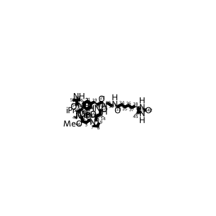 CC[C@H](C)[C@@H]([C@@H](CC(=O)N1CCC[C@H]1[C@H](OC)[C@@H](C)C(=O)N[C@@H](Cc1ccccc1)C(=O)NCCNC(=O)CCCCC[C@@H]1NC(=O)N[C@@H]1C)OC)N(C)[C@H](C(=O)NC(=O)C(C)(C)N)C(C)C